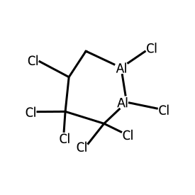 ClC1[CH2][Al]([Cl])[Al]([Cl])[C](Cl)(Cl)C1(Cl)Cl